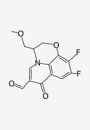 COCC1COc2c(F)c(F)cc3c(=O)c(C=O)cn1c23